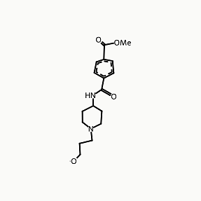 COC(=O)c1ccc(C(=O)NC2CCN(CCC[O])CC2)cc1